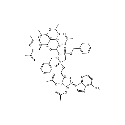 CC(=O)OC[C@@H](OC(C)=O)[C@H]1OC(OP(=O)(CP(=O)(OCc2ccccc2)OC[C@H]2O[C@@H](n3cnc4c(N)ncnc43)[C@H](OC(C)=O)[C@@H]2OC(C)=O)OCc2ccccc2)[C@@H](OC(C)=O)[C@@H](OC(C)=O)[C@@H]1OC(C)=O